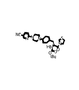 CC(C)(C)OC(=O)N[C@@H](CC1CCC(N2CCN(c3ccc(C#N)cn3)CC2)CC1)C(=O)N1CCSC1